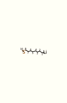 [Li][CH2]CCCCCCCSC